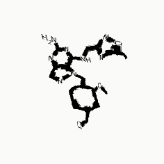 COc1cc(CCl)ccc1Cn1ncc2nc(N)nc(NCc3noc(C)n3)c21